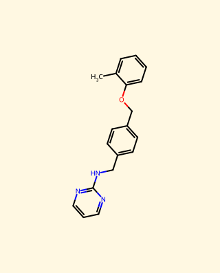 Cc1ccccc1OCc1ccc(CNc2ncccn2)cc1